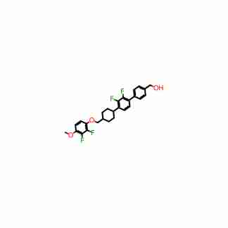 COc1ccc(OCC2CCC(c3ccc(-c4ccc(CO)cc4)c(F)c3F)CC2)c(F)c1F